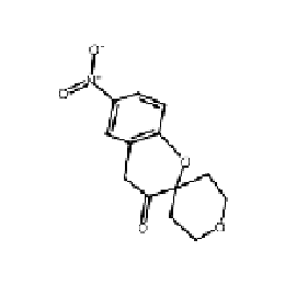 O=C1Cc2cc([N+](=O)[O-])ccc2OC12CCOCC2